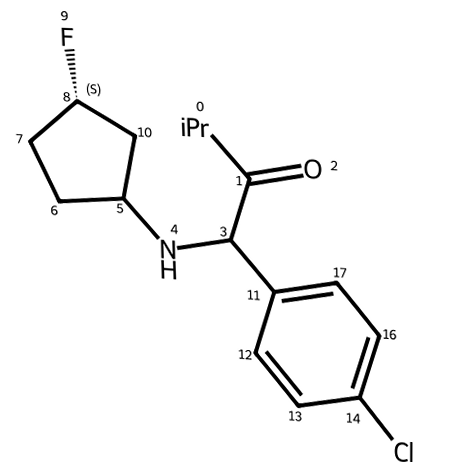 CC(C)C(=O)C(NC1CC[C@H](F)C1)c1ccc(Cl)cc1